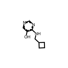 Oc1cn[c]nc1NCC1CCC1